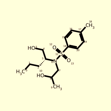 CCC[C@H](CO)N(CC(C)O)S(=O)(=O)c1ccc(C)cc1